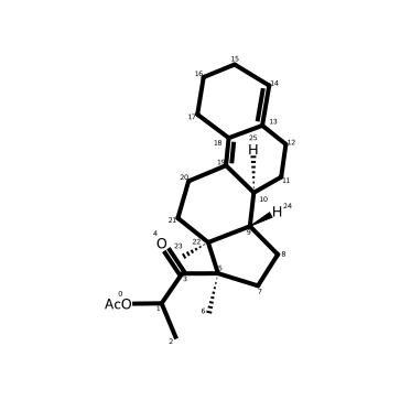 CC(=O)OC(C)C(=O)[C@]1(C)CC[C@H]2[C@@H]3CCC4=CCCCC4=C3CC[C@@]21C